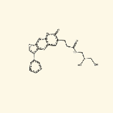 O=C(CCc1cc2cc3c(-c4ccccc4)coc3cc2oc1=O)NCC(O)CO